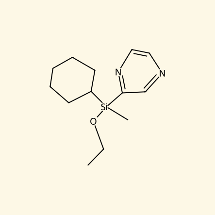 CCO[Si](C)(c1cnccn1)C1CCCCC1